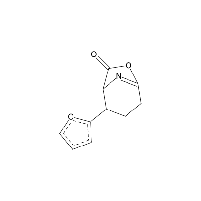 O=C1OC2=NC1C(c1ccco1)CC2